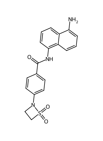 Nc1cccc2c(NC(=O)c3ccc(N4CCS4(=O)=O)cc3)cccc12